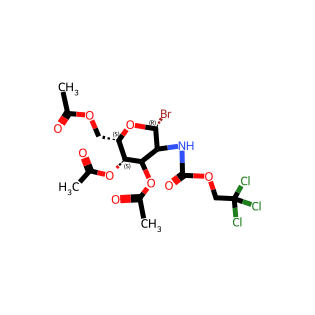 CC(=O)OC[C@@H]1O[C@H](Br)C(NC(=O)OCC(Cl)(Cl)Cl)C(OC(C)=O)[C@@H]1OC(C)=O